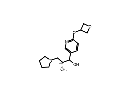 C[C@H](CN1CCCC1)C(O)c1ccc(OC2COC2)nc1